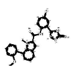 COc1ccccc1-c1cccc2cc(C(=O)Nc3ccc(Br)cc3-c3noc(=O)[nH]3)n(C)c12